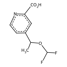 CC(OC(F)F)c1ccnc(C(=O)O)c1